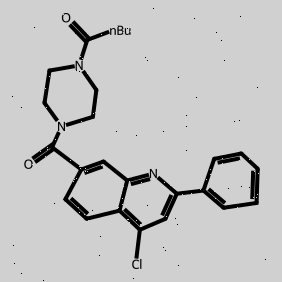 CCCCC(=O)N1CCN(C(=O)c2ccc3c(Cl)cc(-c4ccccc4)nc3c2)CC1